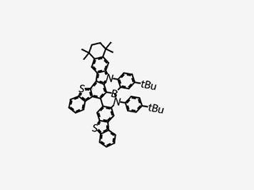 CC(C)(C)c1ccc(N2B3c4cc(C(C)(C)C)ccc4-n4c5cc6c(cc5c5c7sc8ccccc8c7c(c3c54)-c3cc4sc5ccccc5c4cc32)C(C)(C)CCC6(C)C)cc1